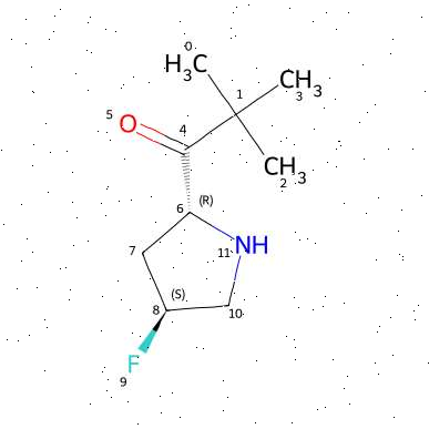 CC(C)(C)C(=O)[C@H]1C[C@H](F)CN1